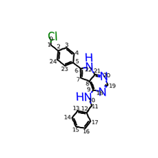 ClCc1ccc(-c2cc3c(NCc4ccccc4)ncnc3[nH]2)cc1